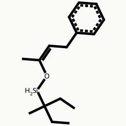 CCC(C)(CC)[SiH2]OC(C)=CCc1ccccc1